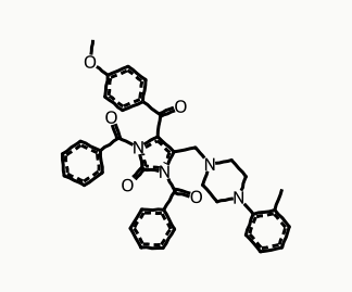 COc1ccc(C(=O)c2c(CN3CCN(c4ccccc4C)CC3)n(C(=O)c3ccccc3)c(=O)n2C(=O)c2ccccc2)cc1